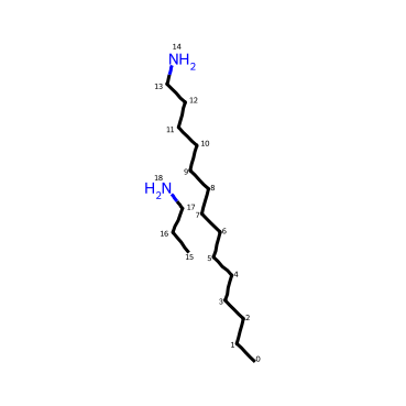 CCCCCCCCCCCCCCN.CCCN